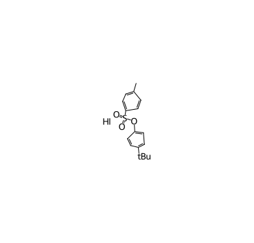 Cc1ccc(S(=O)(=O)Oc2ccc(C(C)(C)C)cc2)cc1.I